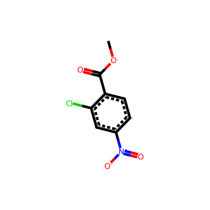 COC(=O)c1c[c]c([N+](=O)[O-])cc1Cl